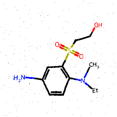 CCN(C)c1ccc(N)cc1S(=O)(=O)CCO